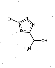 CCn1cc(C(N)O)nn1